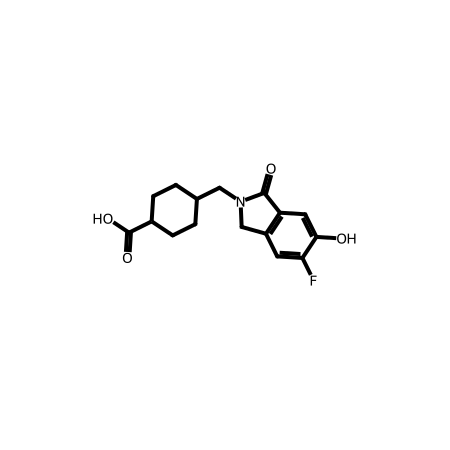 O=C(O)C1CCC(CN2Cc3cc(F)c(O)cc3C2=O)CC1